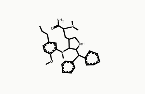 CCCc1ccc(OC)c(N(C)C2C(CC(C(N)=O)N(C)C)CNC2C(c2ccccc2)c2ccccc2)c1